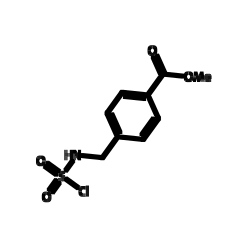 COC(=O)c1ccc(CNS(=O)(=O)Cl)cc1